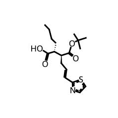 CCCC[C@@H](C(=O)O)[C@H](C/C=C/c1nccs1)C(=O)OC(C)(C)C